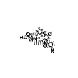 CC(C[C@H](NS(=O)(=O)c1cccc(C#N)c1)c1ccc(Cl)cc1)[C@@H]1NC(=O)[C@](C)(CC(=O)O)C[C@@H]1c1cccc(Cl)c1